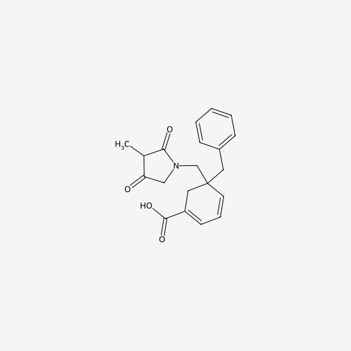 CC1C(=O)CN(CC2(Cc3ccccc3)C=CC=C(C(=O)O)C2)C1=O